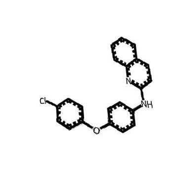 Clc1ccc(Oc2ccc(Nc3ccc4ccccc4n3)cc2)cc1